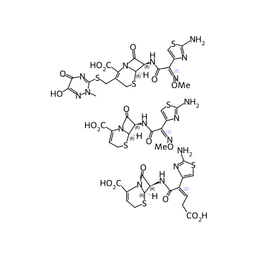 CO/N=C(\C(=O)N[C@@H]1C(=O)N2C(C(=O)O)=C(CSc3nc(=O)c(O)nn3C)CS[C@H]12)c1csc(N)n1.CO/N=C(\C(=O)N[C@@H]1C(=O)N2C(C(=O)O)=CCS[C@H]12)c1csc(N)n1.Nc1nc(/C(=C/CC(=O)O)C(=O)N[C@@H]2C(=O)N3C(C(=O)O)=CCS[C@H]23)cs1